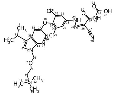 CC(C)c1cn(COCC[Si](C)(C)C)c2nnc(Oc3c(Cl)cc(N/N=C(/C#N)C(=O)NC(=O)O)cc3Cl)cc12